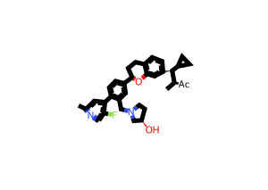 CC(=O)[C@@H](C)[C@H](c1ccc2c(c1)OC(c1ccc(-c3cc(C)ncc3F)c(CN3CC[C@H](O)C3)c1)CC2)C1CC1